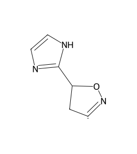 [C]1=NOC(c2ncc[nH]2)C1